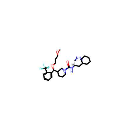 COCCCOC(c1ccccc1C(F)(F)F)C1CCCN(C(=O)N[C@H](CN)CC2CCCCC2)C1